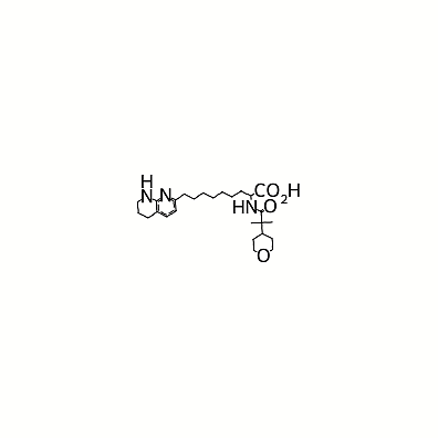 CC(C)(C(=O)NC(CCCCCCCc1ccc2c(n1)NCCC2)C(=O)O)C1CCOCC1